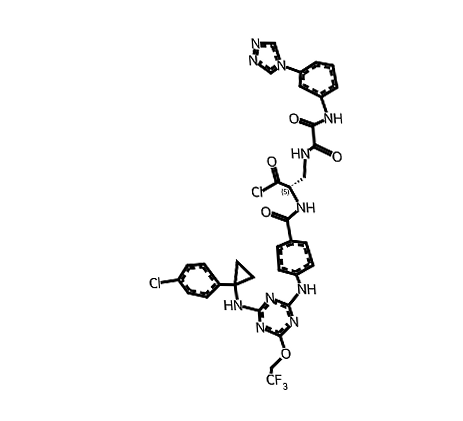 O=C(NC[C@H](NC(=O)c1ccc(Nc2nc(NC3(c4ccc(Cl)cc4)CC3)nc(OCC(F)(F)F)n2)cc1)C(=O)Cl)C(=O)Nc1cccc(-n2cnnc2)c1